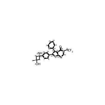 C[C@]1(O)C[C@](N)(c2ccc(-c3sc4ncn(CC(F)(F)F)c(=O)c4c3-c3ccccn3)cc2)C1